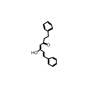 O=C(/C=C(O)\C=C\c1ccccc1)CCc1ccccc1